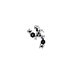 COCCN(C)c1nc(N/N=C/c2ccc(OC(F)(F)F)cc2)nc(Nc2ccc(OC(F)(F)F)cc2)n1